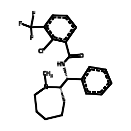 CN1CCCCC[C@H]1[C@H](NC(=O)c1cccc(C(F)(F)F)c1Cl)c1ccccc1